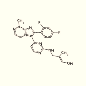 C/C(=C\O)CNc1nccc(-c2c(-c3ccc(F)cc3F)nc3c(C)nccn23)n1